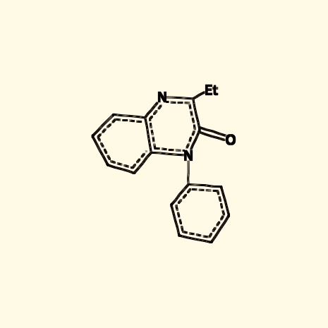 [CH2]Cc1nc2ccccc2n(-c2ccccc2)c1=O